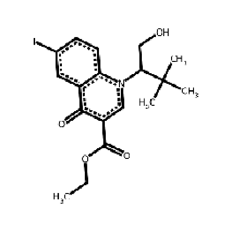 CCOC(=O)c1cn(C(CO)C(C)(C)C)c2ccc(I)cc2c1=O